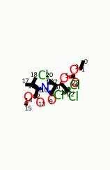 CCOC(=O)OC([C@H]1C(=O)N(C(C(=O)OC)=C(C)C)[C@@H]1Cl)C(Cl)(Cl)Cl